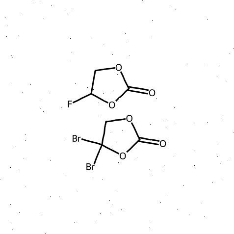 O=C1OCC(Br)(Br)O1.O=C1OCC(F)O1